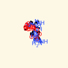 CC[C@H](C)[C@H](NC(=O)[C@H](Cc1ccc(O)cc1)NC(=O)[C@@H](NC(=O)[C@H](CCCNC(=N)N)NC(=O)CNC)C(C)C)C(=O)N[C@@H](Cc1c[nH]cn1)C(=O)N1CCC[C@H]1C(=O)N([N+](=O)[O-])[C@@](CO)(C(=O)OC)C(=O)OC(C)(C)C